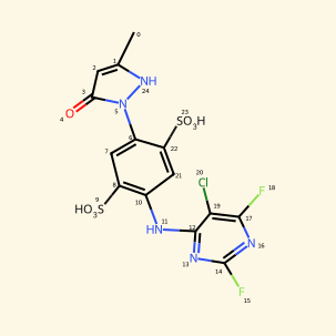 Cc1cc(=O)n(-c2cc(S(=O)(=O)O)c(Nc3nc(F)nc(F)c3Cl)cc2S(=O)(=O)O)[nH]1